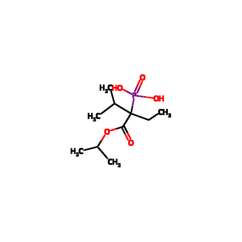 CCC(C(=O)OC(C)C)(C(C)C)P(=O)(O)O